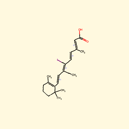 CC1=C(/C=C/C(C)=C(I)/C=C/C(C)=C/C(=O)O)C(C)(C)CCC1